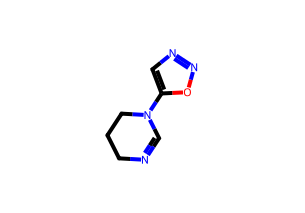 C1=NCCCN1c1cnno1